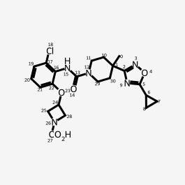 CC1(c2noc(C3CC3)n2)CCN(C(=O)Nc2c(Cl)cccc2OC2CN(C(=O)O)C2)CC1